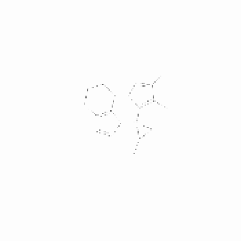 CC1=CC[C]([Zr+2]2([CH]3C=CC4=C3CCCC4)[CH2][CH]2C)=C1C.[Cl-].[Cl-]